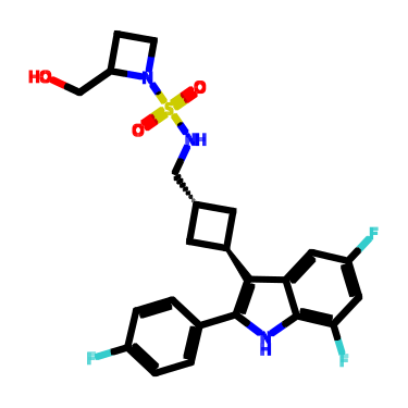 O=S(=O)(NC[C@H]1C[C@H](c2c(-c3ccc(F)cc3)[nH]c3c(F)cc(F)cc32)C1)N1CCC1CO